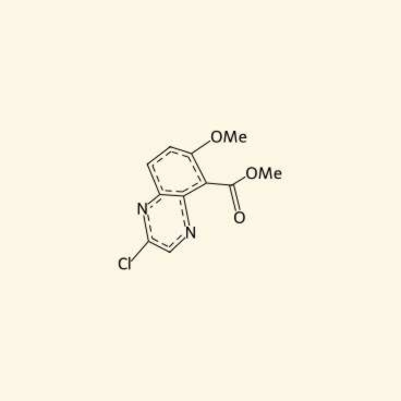 COC(=O)c1c(OC)ccc2nc(Cl)cnc12